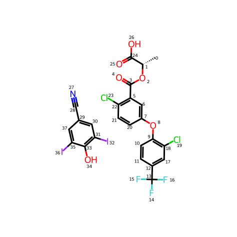 C[C@H](OC(=O)c1cc(Oc2ccc(C(F)(F)F)cc2Cl)ccc1Cl)C(=O)O.N#Cc1cc(I)c(O)c(I)c1